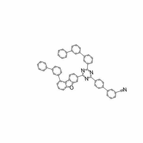 N#Cc1cccc(-c2ccc(-c3nc(-c4cccc(-c5cccc(-c6ccccc6)c5)c4)nc(-c4ccc5c(c4)oc4cccc(-c6cccc(-c7ccccc7)c6)c45)n3)cc2)c1